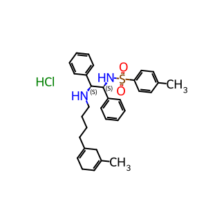 CC1=CCC=C(CCCCN[C@@H](c2ccccc2)[C@@H](NS(=O)(=O)c2ccc(C)cc2)c2ccccc2)C1.Cl